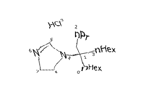 CCCCCCC(CCC)(CCCCCC)N1C=NCC1.Cl